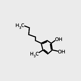 CCCCCc1cc(O)c(O)cc1C